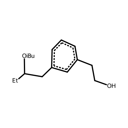 [CH2]CC(Cc1cccc(CCO)c1)OCC(C)C